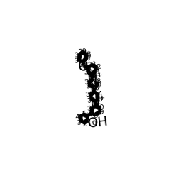 Oc1ccccc1-c1cccc(-[n+]2ccc(-c3cc[n+](-c4cccc(Oc5ccccc5)c4)cc3)cc2)c1